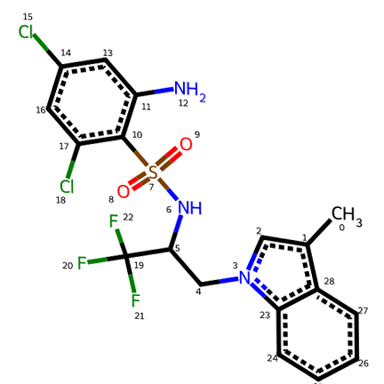 Cc1cn(CC(NS(=O)(=O)c2c(N)cc(Cl)cc2Cl)C(F)(F)F)c2ccccc12